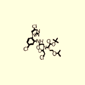 CC(C)OCC[C@@H](C(=O)OC(C)(C)C)N(CC(=O)Nc1cc(Cl)ccc1-n1cc(Cl)nn1)C(=O)CCl